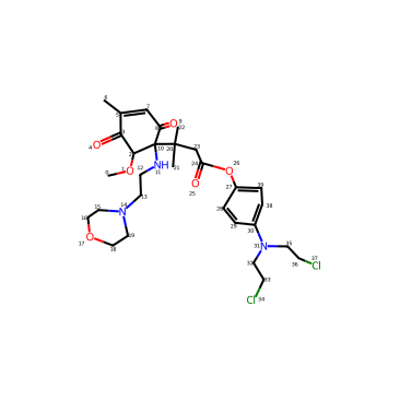 COC1C(=O)C(C)=CC(=O)C1(NCCN1CCOCC1)C(C)(C)CC(=O)Oc1ccc(N(CCCl)CCCl)cc1